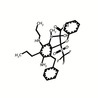 CCCNc1c(CCC)c(N)c(Cc2ccccc2)c2c1N(C)C(O)(C(=O)O)C2(Oc1ccccc1)S(=O)(=O)C(F)(F)F